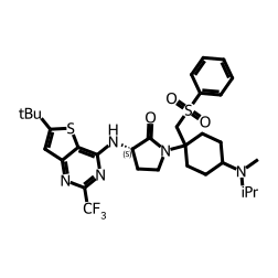 CC(C)N(C)C1CCC(CS(=O)(=O)c2ccccc2)(N2CC[C@H](Nc3nc(C(F)(F)F)nc4cc(C(C)(C)C)sc34)C2=O)CC1